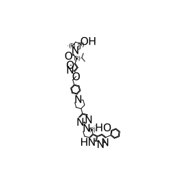 CC(C)[C@@H](C(=O)N1C[C@H](O)C[C@H]1C)c1cc(OCc2ccc(N3CCC(c4cnc(N5CCc6[nH]c7nnc(-c8ccccc8O)cc7c6[C@H]5C)nc4)CC3)cc2)no1